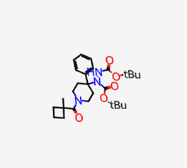 CC(C)(C)OC(=O)NN(C(=O)OC(C)(C)C)C1(c2ccccc2)CCN(C(=O)C2(C)CCC2)CC1